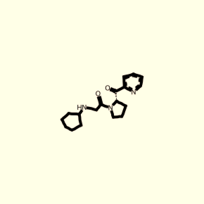 O=C(c1ccccn1)[C@@H]1CCCN1C(=O)CNC1CCCCC1